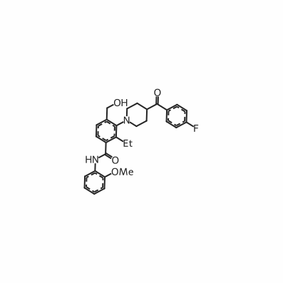 CCc1c(C(=O)Nc2ccccc2OC)ccc(CO)c1N1CCC(C(=O)c2ccc(F)cc2)CC1